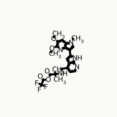 COc1cc2c(nc1OC)c(-c1cc3c(CNC(C)(C)C(=O)OC(=O)C(F)(F)F)ccnc3[nH]1)cn2C